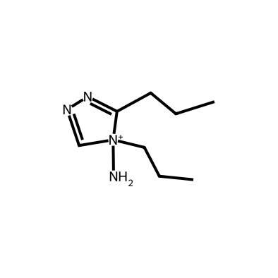 CCCC1=NN=C[N+]1(N)CCC